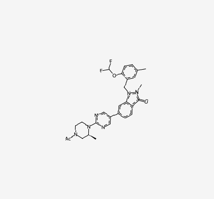 CC(=O)N1CCN(c2ncc(-c3ccc4c(=O)n(C)n(Cc5cc(C)ccc5OC(F)F)c4c3)cn2)[C@@H](C)C1